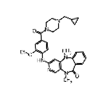 CCOc1cc(C(=O)N2CCN(CC3CC3)CC2)ccc1Nc1cc2c(cn1)N(C)C(=O)c1ccccc1N2C